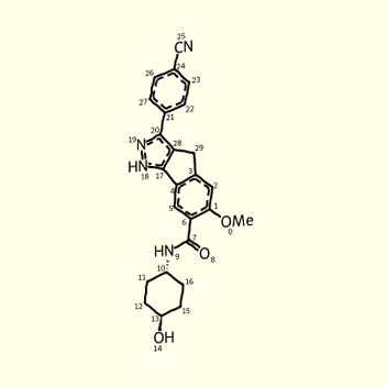 COc1cc2c(cc1C(=O)N[C@H]1CC[C@H](O)CC1)-c1[nH]nc(-c3ccc(C#N)cc3)c1C2